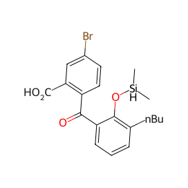 CCCCc1cccc(C(=O)c2ccc(Br)cc2C(=O)O)c1O[SiH](C)C